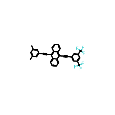 Cc1cc(C)cc(C#Cc2c3ccccc3c(C#Cc3cc(C(F)(F)F)cc(C(F)(F)F)c3)c3ccccc23)c1